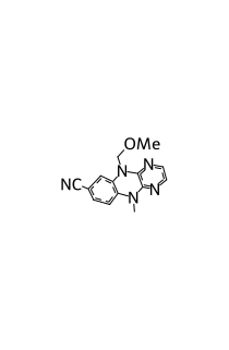 COCN1c2cc(C#N)ccc2N(C)c2nccnc21